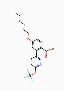 CCCCCCOc1ccc(C(=O)O)c(-c2ccc(OC(F)(F)F)nc2)c1